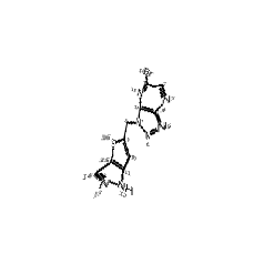 Brc1cnc2nnn(Cc3cc4[nH]ncc4s3)c2n1